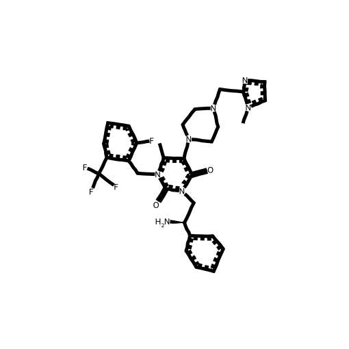 Cc1c(N2CCN(Cc3nccn3C)CC2)c(=O)n(C[C@H](N)c2ccccc2)c(=O)n1Cc1c(F)cccc1C(F)(F)F